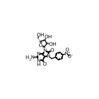 Nc1nc2c(c(=O)[nH]1)n(Cc1ccc([N+](=O)[O-])cc1)c(=O)n2[C@@H]1O[C@H](CO)[C@@H](O)[C@H]1O